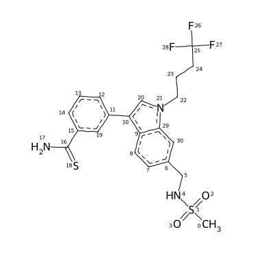 CS(=O)(=O)NCc1ccc2c(-c3cccc(C(N)=S)c3)cn(CCCC(F)(F)F)c2c1